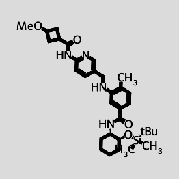 COC1CC(C(=O)Nc2ccc(CNc3cc(C(=O)N[C@H]4CCCC[C@@H]4O[Si](C)(C)C(C)(C)C)ccc3C)cn2)C1